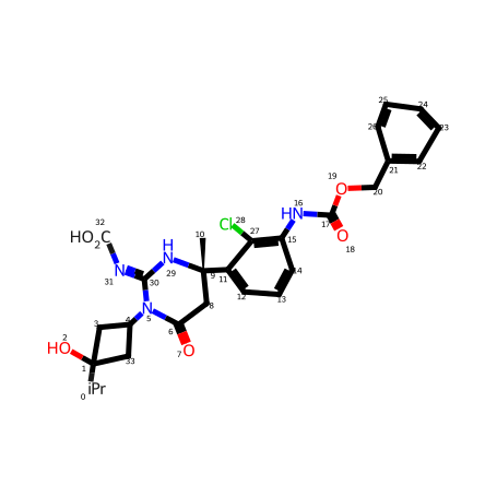 CC(C)C1(O)CC(N2C(=O)C[C@@](C)(c3cccc(NC(=O)OCc4ccccc4)c3Cl)N/C2=N\C(=O)O)C1